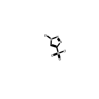 CCn1cc(S(=O)(=O)Cl)nn1